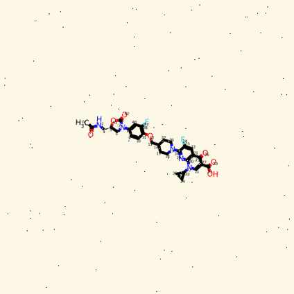 CC(=O)NC[C@H]1CN(c2ccc(OCC3CCN(c4nc5c(cc4F)c(=O)c(C(=O)O)cn5C4CC4)CC3)c(F)c2)C(=O)O1